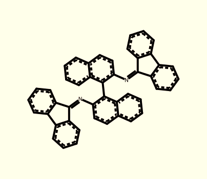 c1ccc2c(c1)C(=Nc1ccc3ccccc3c1-c1c(N=C3c4ccccc4-c4ccccc43)ccc3ccccc13)c1ccccc1-2